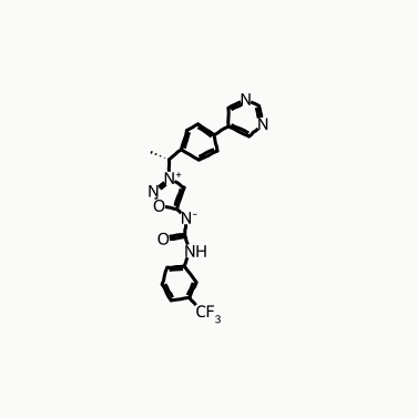 C[C@H](c1ccc(-c2cncnc2)cc1)[n+]1cc([N-]C(=O)Nc2cccc(C(F)(F)F)c2)on1